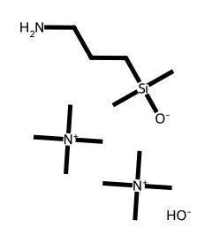 C[N+](C)(C)C.C[N+](C)(C)C.C[Si](C)([O-])CCCN.[OH-]